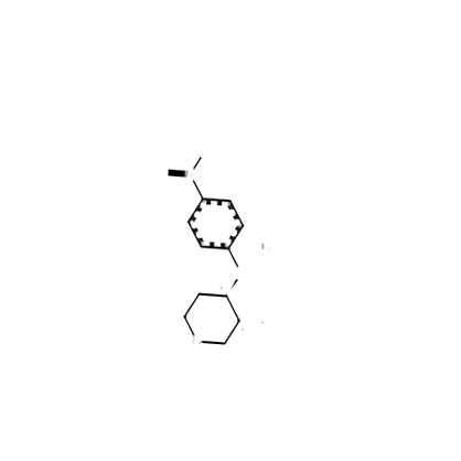 Br.O=[N+]([O-])c1ccc(O[C@@H]2CCNC[C@H]2O)cc1